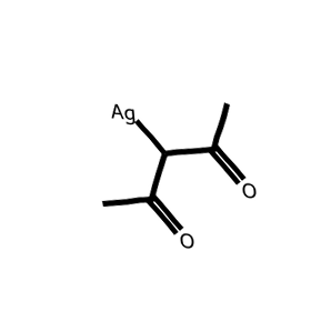 CC(=O)[CH]([Ag])C(C)=O